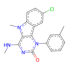 CNc1nc(=O)n(-c2cccc(C)c2)c2c3cc(Cl)ccc3n(C)c12